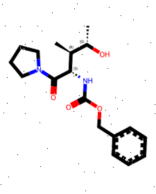 C[C@@H]([C@H](C)O)[C@H](NC(=O)OCc1ccccc1)C(=O)N1CCCC1